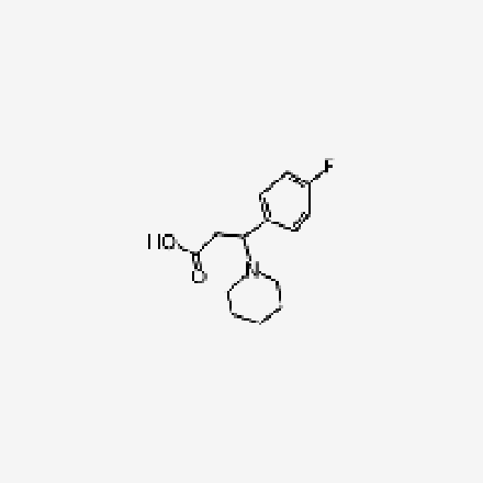 O=C(O)CC(c1ccc(F)cc1)N1CCCCC1